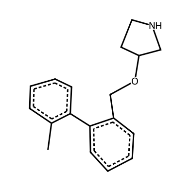 Cc1ccccc1-c1ccccc1COC1CCNC1